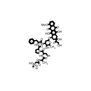 COc1cccc2c1C(=O)c1c(O)c3c(c(O)c1C2=O)CC(O)(C(=O)CO)CC3OC1CC(NC(=O)C(Cc2ccccc2)NC(=O)C2CCCN2C(=O)C(CC(C)C)NC(=O)C(C)NC(=O)CP(=O)(O)O)C(O)C(C)O1